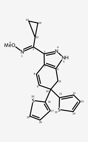 CON=C(c1n[nH]c2c1C=CC(c1cccs1)(c1cccs1)C2)C1CC1